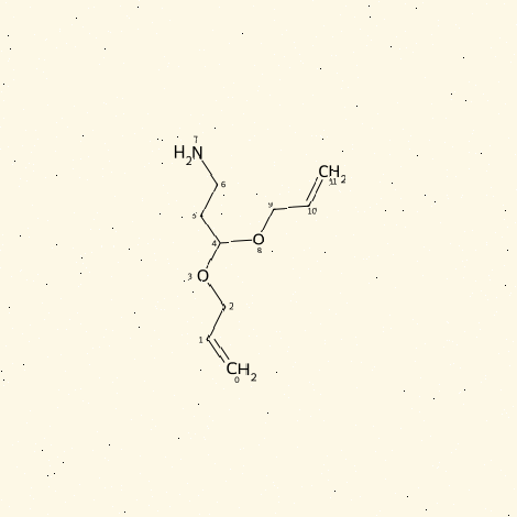 C=CCOC(CCN)OCC=C